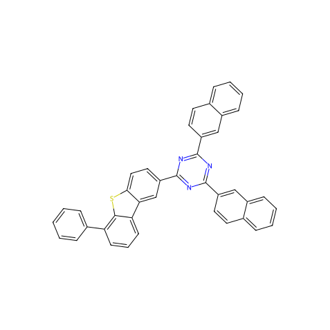 c1ccc(-c2cccc3c2sc2ccc(-c4nc(-c5ccc6ccccc6c5)nc(-c5ccc6ccccc6c5)n4)cc23)cc1